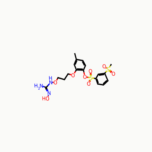 Cc1ccc(OS(=O)(=O)c2cccc(S(C)(=O)=O)c2)c(OCCCONC(N)=NO)c1